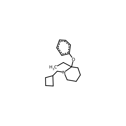 CCC1(Oc2ccccc2)CCCCN1CC1CCC1